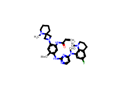 C=CC(=O)Nc1cc(Nc2nccc(N(C=O)c3cc(F)cc4c3N(C)CCC4)n2)c(OC)cc1N1CC2(CCCCN2C)C1